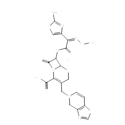 CO/N=C(\C(=O)NC1C(=O)N2C(C(=O)O)=C(CN3C=Cc4scnc4C3)CS[C@H]12)c1csc(N)n1